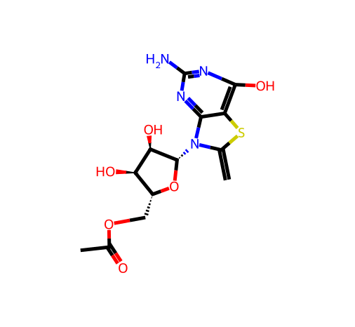 C=C1Sc2c(O)nc(N)nc2N1[C@@H]1O[C@H](COC(C)=O)[C@@H](O)[C@H]1O